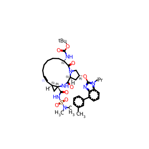 Cc1cccc(-c2cccc3c2nc(O[C@@H]2C[C@H]4C(=O)N[C@]5(C(=O)NS(=O)(=O)N(C)C)C[C@H]5/C=C\CCCCC[C@H](NC(=O)OC(C)(C)C)C(=O)N4C2)n3C(C)C)c1